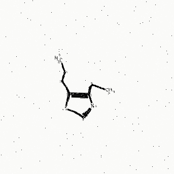 CCCc1s[c]nc1CC